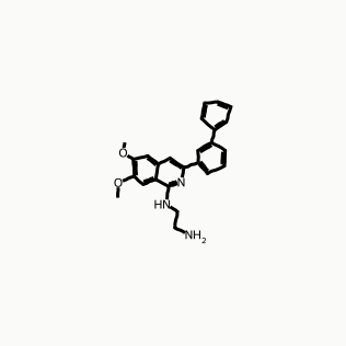 COc1cc2cc(-c3cccc(-c4ccccc4)c3)nc(NCCN)c2cc1OC